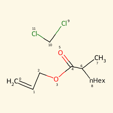 C=CCOC(=O)C(C)CCCCCC.ClCCl